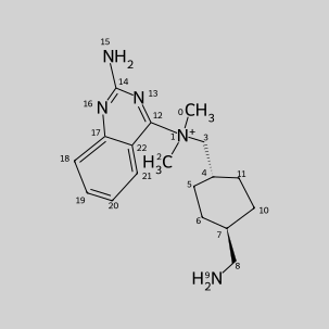 C[N+](C)(C[C@H]1CC[C@H](CN)CC1)c1nc(N)nc2ccccc12